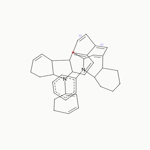 C1=CCCC(N2C3C=CC(C4=C\C5=CC(C/C=C\4)N(c4ccccc4)C4CCCCC54)=CC3C3C=CCCC32)=C1